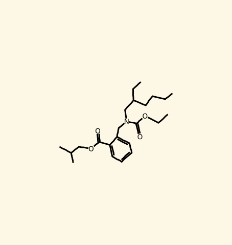 CCCCC(CC)CN(Cc1ccccc1C(=O)OCC(C)C)C(=O)OCC